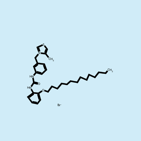 CCCCCCCCCCCCCCOc1ccccc1NC(=O)Nc1cccc(C[n+]2cscc2C)c1.[Br-]